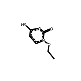 CCOn1ccc(S)nc1=O